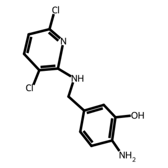 Nc1ccc(CNc2nc(Cl)ccc2Cl)cc1O